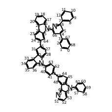 c1ccc(-c2cc(-c3ccccc3)nc(-n3c4ccccc4c4ccc(-c5ccc6c(c5)c5ccccc5n6-c5ccc(-c6ccc7c(c6)c6ncccc6n7-c6ccccc6)cc5)cc43)c2)cc1